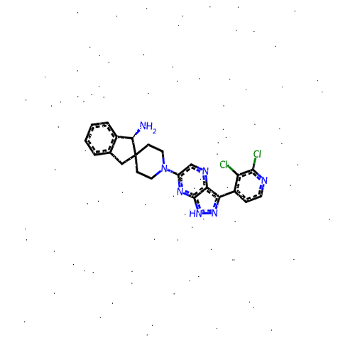 N[C@@H]1c2ccccc2CC12CCN(c1cnc3c(-c4ccnc(Cl)c4Cl)n[nH]c3n1)CC2